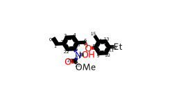 C=Cc1ccc(COc2ccc(CC)cc2C)c(N(O)C(=O)OC)c1